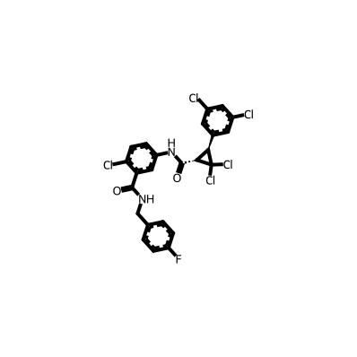 O=C(NCc1ccc(F)cc1)c1cc(NC(=O)[C@@H]2[C@@H](c3cc(Cl)cc(Cl)c3)C2(Cl)Cl)ccc1Cl